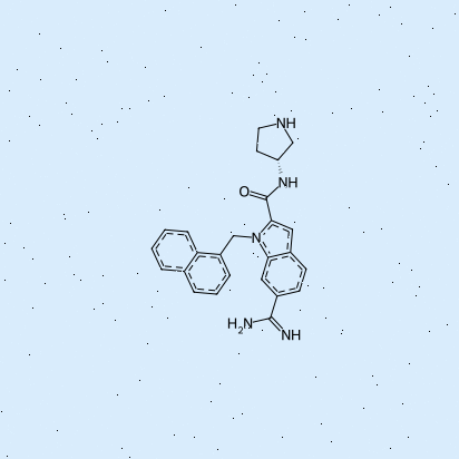 N=C(N)c1ccc2cc(C(=O)N[C@@H]3CCNC3)n(Cc3cccc4ccccc34)c2c1